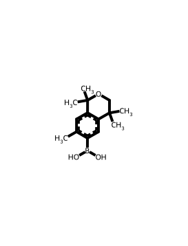 Cc1cc2c(cc1B(O)O)C(C)(C)COC2(C)C